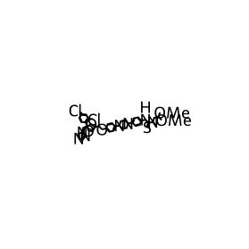 COC(CN(C)C(=S)Nc1ccc(N2CCN(c3ccc(OCC4COC(Cn5cncn5)(c5ccc(Cl)cc5Cl)O4)cc3)CC2)cc1)OC